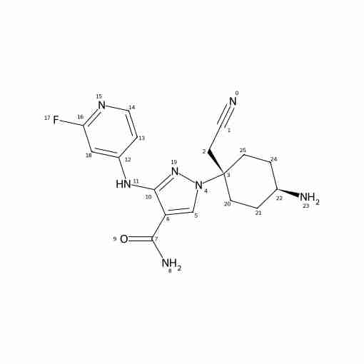 N#CC[C@]1(n2cc(C(N)=O)c(Nc3ccnc(F)c3)n2)CC[C@H](N)CC1